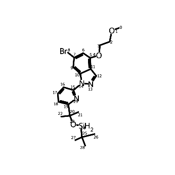 COCCOc1cc(Br)cc2c1cnn2-c1cccc(C(C)(C)O[SiH2]C(C)(C)C)n1